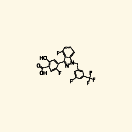 O=C(O)c1cc(F)c(-c2nn(Cc3cc(F)cc(C(F)(F)F)c3)c3cccc(F)c23)cc1O